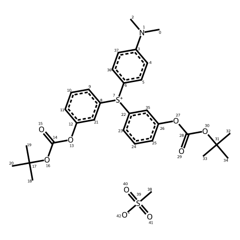 CN(C)c1ccc([S+](c2cccc(OC(=O)OC(C)(C)C)c2)c2cccc(OC(=O)OC(C)(C)C)c2)cc1.CS(=O)(=O)[O-]